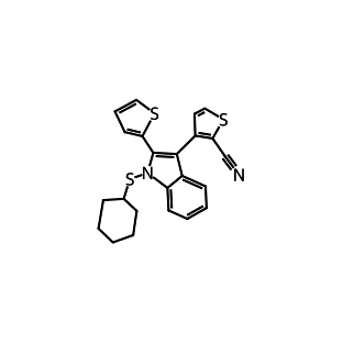 N#Cc1sccc1-c1c(-c2cccs2)n(SC2CCCCC2)c2ccccc12